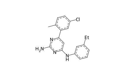 CCc1cccc(Nc2cc(-c3cc(Cl)ccc3C)nc(N)n2)c1